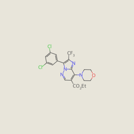 CCOC(=O)c1cnn2c(-c3cc(Cl)cc(Cl)c3)c(C(F)(F)F)nc2c1N1CCOCC1